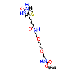 CC(C)(C)OC(=O)NCCCOCCCCOCCCNC(=O)CCCC[C@@H]1SC[C@@H]2NC(=O)N[C@@H]21